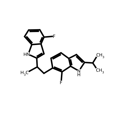 CC(C)c1cc2ccc(CC(C)c3cc4c(F)cccc4[nH]3)c(F)c2[nH]1